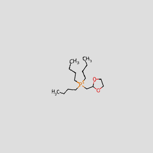 CCCC[P+](CCCC)(CCCC)CC1OCCO1